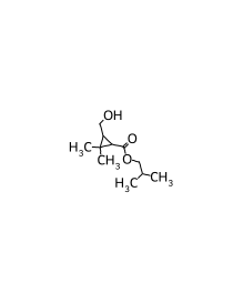 CC(C)COC(=O)C1C(CO)C1(C)C